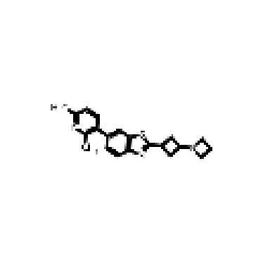 Cc1ccc(-c2ccc3nc(C4CC(N5CCC5)C4)sc3c2)c(C)n1